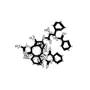 CC(=O)O[C@H]1C(=O)[C@@]2(C)[C@H]([C@H](OC(=O)c3ccccc3)[C@]3(O)C[C@H](OC(=O)[C@H](O)[C@@H](NC(=O)c4ccccc4)c4ccccc4)C(C)=C1C3(C)C)[C@]1(OC(C)=O)O[C@@H]1C[C@@H]2O